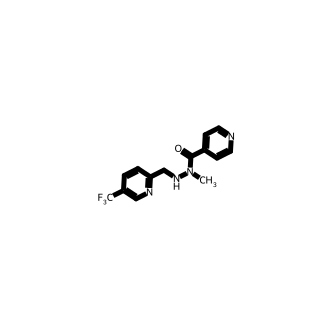 CN(NCc1ccc(C(F)(F)F)cn1)C(=O)c1ccncc1